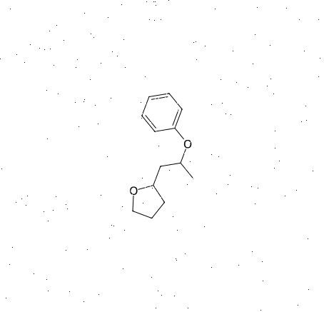 CC(CC1CCCO1)Oc1ccccc1